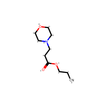 N#CCCOC(=O)CCN1CCOCC1